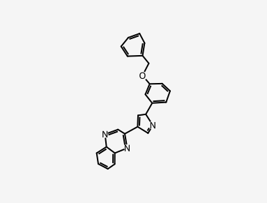 C1=NC(c2cccc(OCc3ccccc3)c2)C=C1c1cnc2ccccc2n1